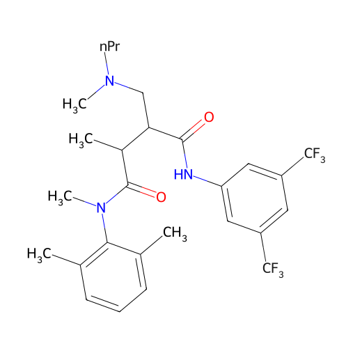 CCCN(C)CC(C(=O)Nc1cc(C(F)(F)F)cc(C(F)(F)F)c1)C(C)C(=O)N(C)c1c(C)cccc1C